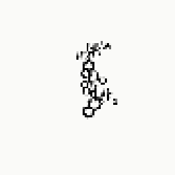 CNC(=O)Nc1ccc2c(c1)CC[C@]21OC(=O)N(CC(=O)N2Cc3ccccc3CCC2(O)C(F)(F)F)C1=O